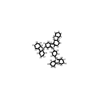 c1ccc2c(c1)sc1c2ccc2c1c1ccc(-n3c4ccccc4c4ccccc43)cc1n2-c1ccc(-n2c3ccccc3c3ccccc32)cc1